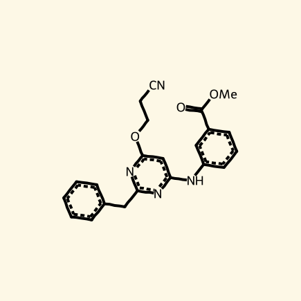 COC(=O)c1cccc(Nc2cc(OCCC#N)nc(Cc3ccccc3)n2)c1